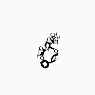 CS(=O)(=O)N[C@H]1CCN2C(=O)C(F)(F)Oc3ccccc3C3CCC(CC3)OCC12